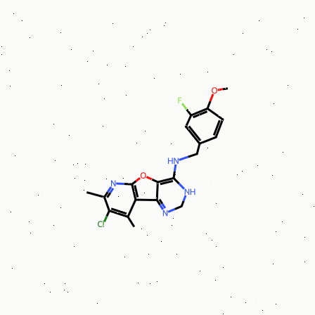 COc1ccc(CNC2=c3oc4nc(C)c(Cl)c(C)c4c3=NCN2)cc1F